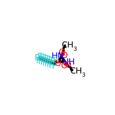 CCCCOC(=O)Nc1cc(NC(=O)OCCCC)cc(OC(F)=C(F)C(F)(F)C(F)(F)C(F)(F)C(F)(F)C(F)(F)C(F)(F)C(F)(F)F)c1